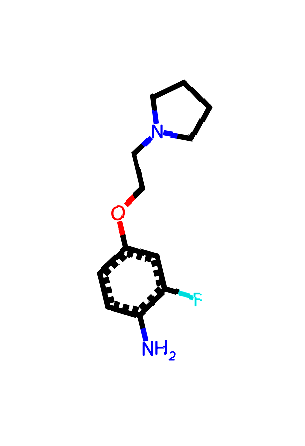 Nc1ccc(OCCN2CCCC2)cc1F